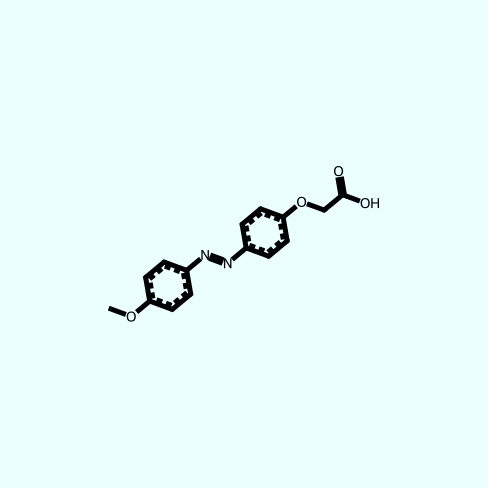 COc1ccc(N=Nc2ccc(OCC(=O)O)cc2)cc1